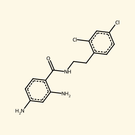 Nc1ccc(C(=O)NCCc2ccc(Cl)cc2Cl)c(N)c1